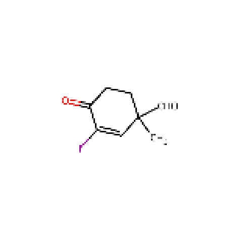 CC1(C=O)C=C(I)C(=O)CC1